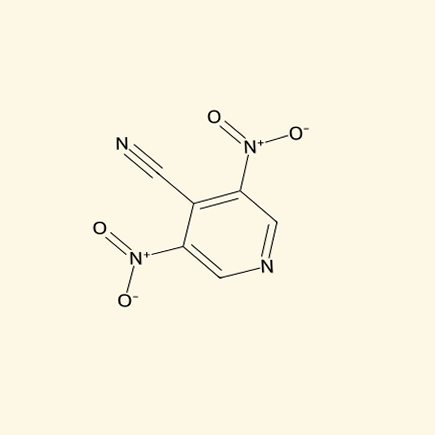 N#Cc1c([N+](=O)[O-])cncc1[N+](=O)[O-]